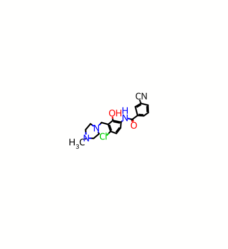 CN1CCN(Cc2c(Cl)ccc(NC(=O)c3cccc(C#N)c3)c2O)CC1